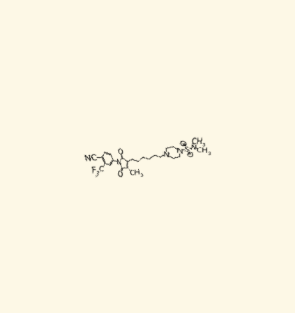 CC1=C(CCCCCCN2CCN(S(=O)(=O)N(C)C)CC2)C(=O)N(c2ccc(C#N)c(C(F)(F)F)c2)C1=O